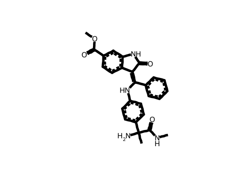 CNC(=O)C(C)(N)c1ccc(NC(=C2C(=O)Nc3cc(C(=O)OC)ccc32)c2ccccc2)cc1